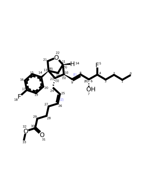 CCCCC(F)[C@H](O)/C=C/[C@@H]1[C@@H]2C[C@@](c3ccc(F)cc3)(CO2)[C@H]1C/C=C\CCCC(=O)OC